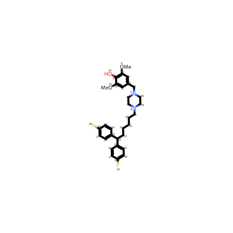 COc1cc(CN2CCN(CCCCCC(c3ccc(F)cc3)c3ccc(F)cc3)CC2)cc(OC)c1O